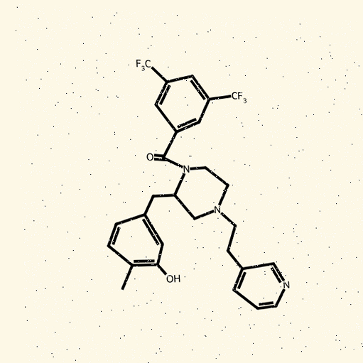 Cc1ccc(CC2CN(CCc3cccnc3)CCN2C(=O)c2cc(C(F)(F)F)cc(C(F)(F)F)c2)cc1O